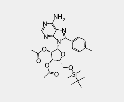 CC(=O)O[C@@H]1[C@H](OC(C)=O)[C@@H](CO[Si](C)(C)C(C)(C)C)O[C@H]1n1c(-c2ccc(C)cc2)nc2c(N)ncnc21